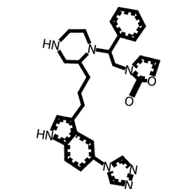 O=c1occn1CC(c1ccccc1)N1CCNCC1CCCc1c[nH]c2ccc(-n3cnnc3)cc12